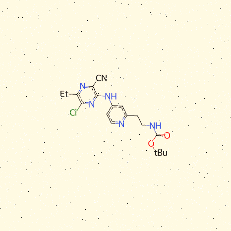 CCc1nc(C#N)c(Nc2ccnc(CCNC(=O)OC(C)(C)C)c2)nc1Cl